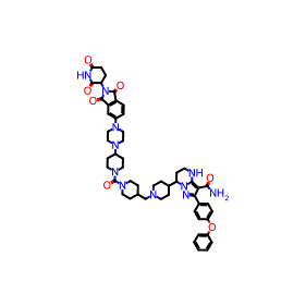 NC(=O)c1c(-c2ccc(Oc3ccccc3)cc2)nn2c1NCCC2C1CCN(CC2CCN(C(=O)N3CCC(N4CCN(c5ccc6c(c5)C(=O)N(C5CCC(=O)NC5=O)C6=O)CC4)CC3)CC2)CC1